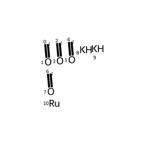 [C]=O.[C]=O.[C]=O.[C]=O.[KH].[KH].[Ru]